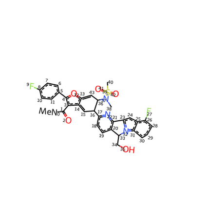 CNC(=O)c1c(-c2ccc(F)cc2)oc2c1=CC(c1ccc3c(n1)-c1cc4c(F)cccc4n1C3CO)C(N(C)S(C)(=O)=O)C=2